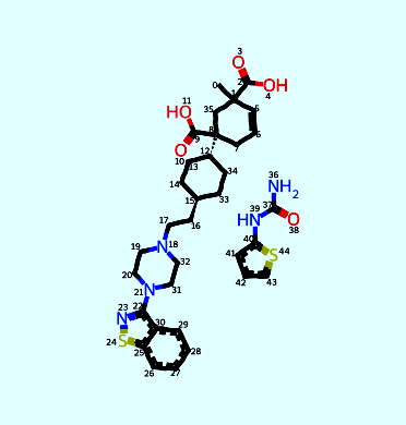 CC1(C(=O)O)C=CCC(C(=O)O)([C@H]2CC[C@H](CCN3CCN(c4nsc5ccccc45)CC3)CC2)C1.NC(=O)Nc1cccs1